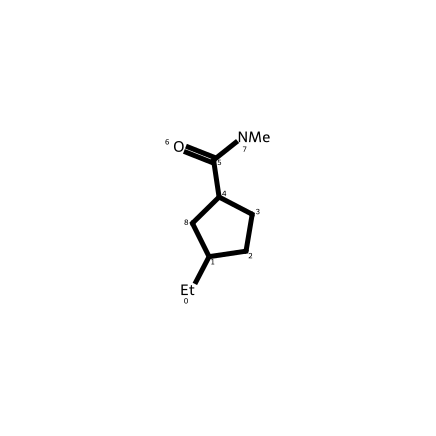 CCC1CCC(C(=O)NC)C1